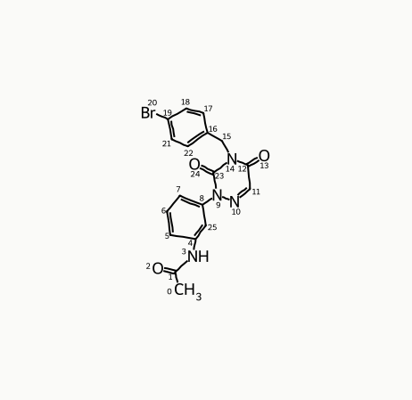 CC(=O)Nc1cccc(-n2ncc(=O)n(Cc3ccc(Br)cc3)c2=O)c1